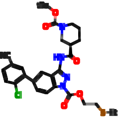 CCSCCOC(=O)n1nc(NC(=O)[C@@H]2CCCN(C(=O)OC(C)(C)C)C2)c2cc(-c3cc(C#N)ccc3Cl)ccc21